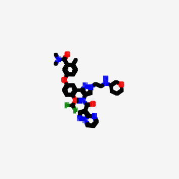 Cc1ccc(Oc2ccc(OC(F)F)c(-c3nn(CCN[C@@H]4CCCOC4)cc3NC(=O)c3cnn4cccnc34)c2)cc1C(=O)N(C)C